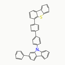 c1ccc(-c2ccc3c4ccccc4n(-c4ccc(-c5ccc(-c6cccc7c6sc6ccccc67)cc5)cc4)c3c2)cc1